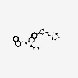 CC[C@@H](C)C(=O)N[C@H](C(=O)N1Cc2cc(C3C[C@@H](C(C)=O)N(C(=O)[C@@H](NC(=O)[C@H](C)N(C)C(=O)OC(C)(C)C)C(C)(C)C)C3)ccc2C[C@H]1C(=O)NC1CCCc2ccccc21)C(C)(C)C